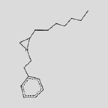 CCCCCCCC1CN1CCc1ccccc1